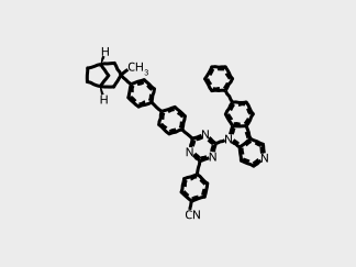 CC1(c2ccc(-c3ccc(-c4nc(-c5ccc(C#N)cc5)nc(-n5c6ccncc6c6ccc(-c7ccccc7)cc65)n4)cc3)cc2)C[C@@H]2CC[C@@H](C2)C1